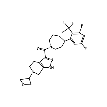 O=C(c1n[nH]c2c1CCN(C1COC1)C2)N1CCCC(c2cc(F)cc(F)c2C(F)(F)F)CC1